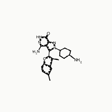 Cc1ccc2oc(-c3c4c(N)n[nH]c(=O)c4nn3C3CCC(N)CC3)c(C)c2c1